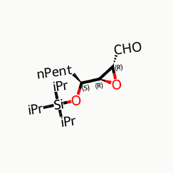 CCCCC[C@H](O[Si](C(C)C)(C(C)C)C(C)C)[C@@H]1O[C@H]1C=O